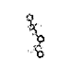 C[C@H](NC(=O)c1cccc(NCc2nnc(-c3ccncn3)n2C)c1)c1cccnc1